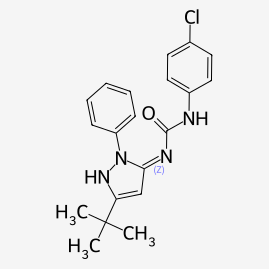 CC(C)(C)c1c/c(=N/C(=O)Nc2ccc(Cl)cc2)n(-c2ccccc2)[nH]1